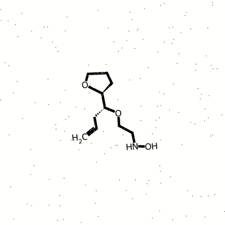 C=CC[C@@H](OCCNO)[C@@H]1CCCO1